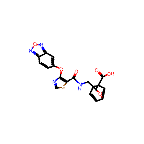 O=C(NCC12C=CC(=CC1)OC2C(=O)O)c1scnc1Oc1ccc2nonc2c1